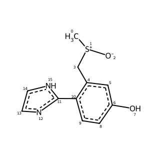 C[S+]([O-])Cc1cc(O)ccc1-c1ncc[nH]1